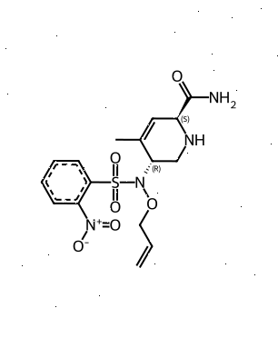 C=CCON([C@H]1CN[C@H](C(N)=O)C=C1C)S(=O)(=O)c1ccccc1[N+](=O)[O-]